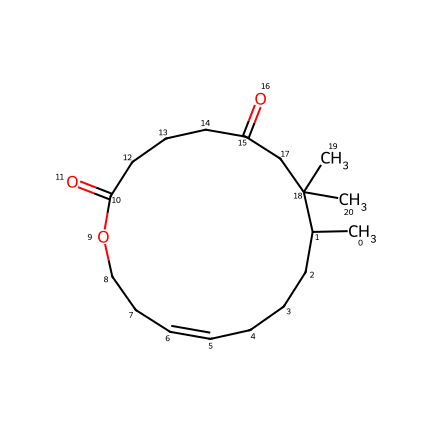 CC1CCCC=CCCOC(=O)CCCC(=O)CC1(C)C